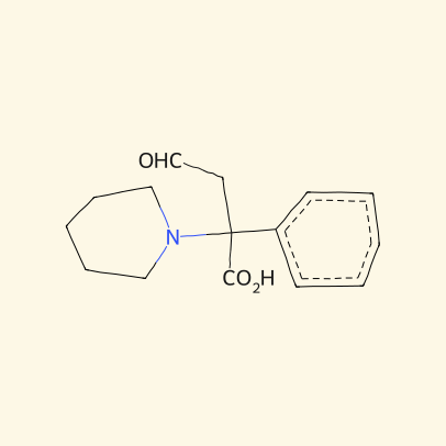 O=CCC(C(=O)O)(c1ccccc1)N1CCCCC1